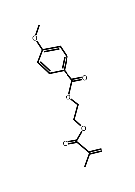 C=C(C)C(=O)OCCOC(=O)c1ccc(OC)cc1